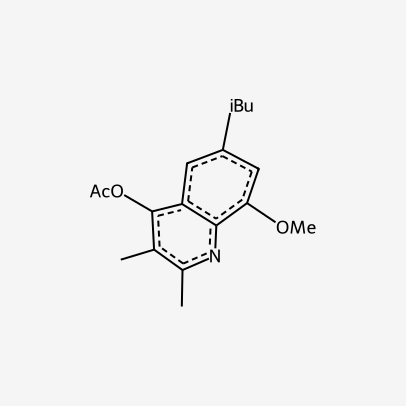 CCC(C)c1cc(OC)c2nc(C)c(C)c(OC(C)=O)c2c1